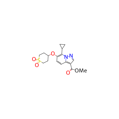 COC(=O)c1cnn2c(C3CC3)c(OC3CCS(=O)(=O)CC3)ccc12